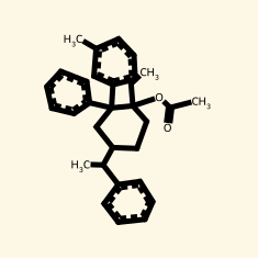 CCC1(OC(C)=O)CCC(C(C)c2ccccc2)CC1(c1ccccc1)c1cccc(C)c1